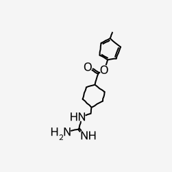 Cc1ccc(OC(=O)C2CCC(CNC(=N)N)CC2)cc1